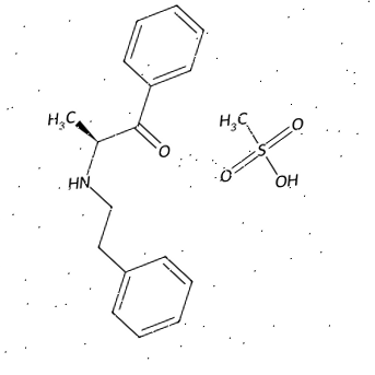 CS(=O)(=O)O.C[C@H](NCCc1ccccc1)C(=O)c1ccccc1